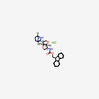 Cl.O=C(N[C@H]1CO[C@H]2[C@@H]1OC[C@@H]2N1C[C@@H]2CC[C@H]1CN2)OCC1c2ccccc2-c2ccccc21